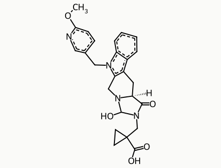 COc1ccc(Cn2c3c(c4ccccc42)C[C@H]2C(=O)N(CC4(C(=O)O)CC4)C(O)N2C3)cn1